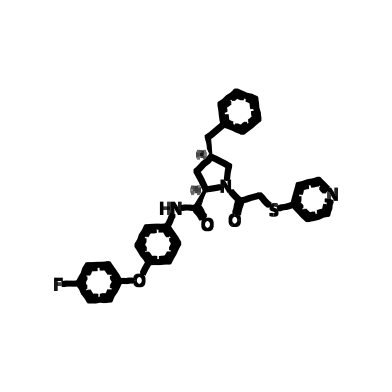 O=C(Nc1ccc(Oc2ccc(F)cc2)cc1)[C@H]1C[C@@H](Cc2ccccc2)CN1C(=O)CSc1ccncc1